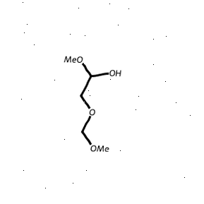 COCOCC(O)OC